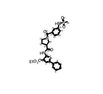 CCOC(=O)c1cc(-c2ccccc2)sc1NC(=O)C1CCN(C(=O)c2cccc(NS(C)(=O)=O)c2)C1